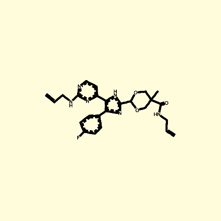 C=CCNC(=O)C1(C)COC(c2nc(-c3ccc(F)cc3)c(-c3ccnc(NCC=C)n3)[nH]2)OC1